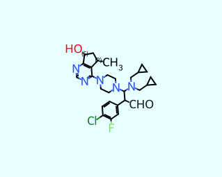 C[C@@H]1C[C@H](O)c2ncnc(N3CCN(C(C(C=O)c4ccc(Cl)c(F)c4)N(CC4CC4)CC4CC4)CC3)c21